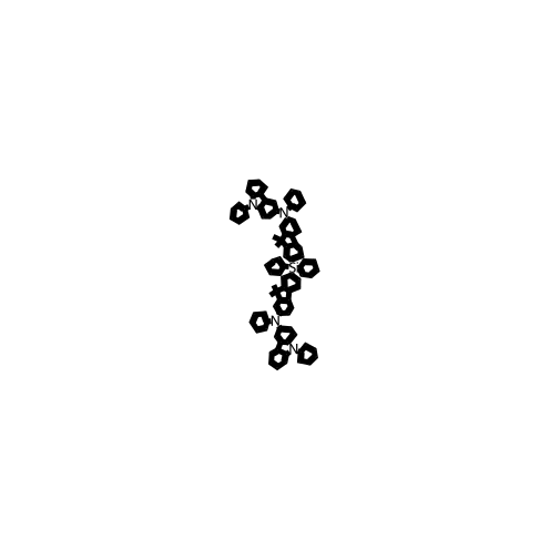 CC1(C)c2cc(N(c3ccccc3)c3ccc4c(c3)c3ccccc3n4-c3ccccc3)ccc2-c2ccc([Si](c3ccccc3)(c3ccccc3)c3ccc4c(c3)C(C)(C)c3cc(N(c5ccccc5)c5ccc6c(c5)c5ccccc5n6-c5ccccc5)ccc3-4)cc21